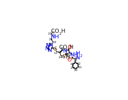 NC(C(=O)NC1C(=O)N2C(C(=O)O)=C(CSc3nnnn3CCNCC(=O)O)CS[C@H]12)c1ccccc1